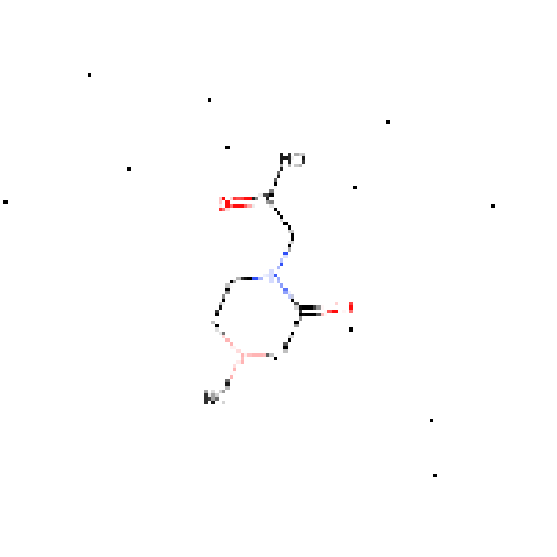 N#CB1CCN(CC(=O)N=O)C(=O)C1